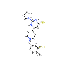 CCc1ccc(CN2CCC(c3cc(S)nc(N4CCCC4)n3)CC2)cc1S